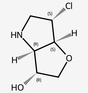 O[C@H]1CO[C@H]2[C@@H]1NC[C@@H]2Cl